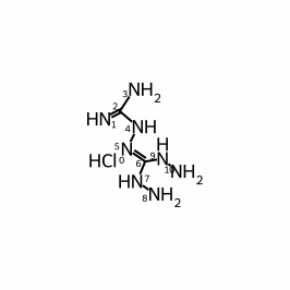 Cl.N=C(N)NN=C(NN)NN